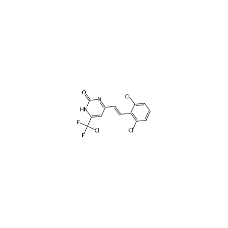 O=c1nc(C=Cc2c(Cl)cccc2Cl)cc(C(F)(F)Cl)[nH]1